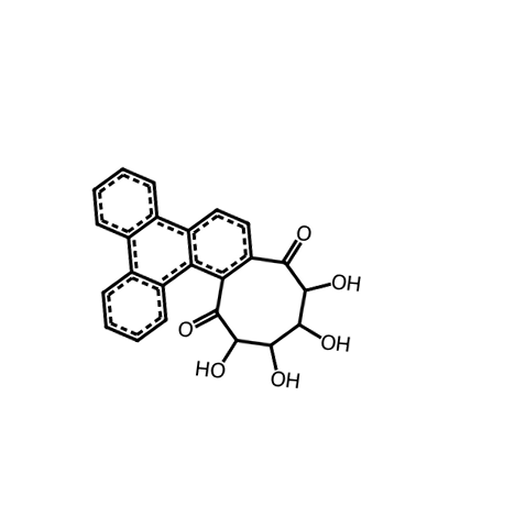 O=C1c2ccc3c4ccccc4c4ccccc4c3c2C(=O)C(O)C(O)C(O)C1O